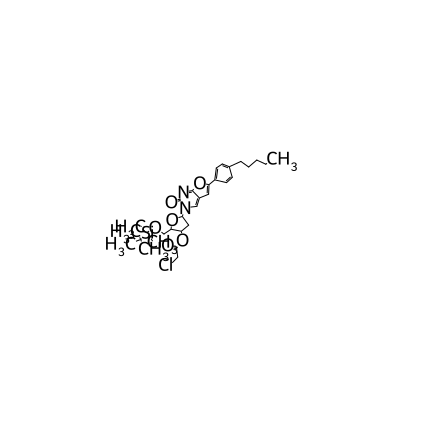 CCCCCc1ccc(-c2cc3cn(C4CC(OC(=O)CCl)C(CO[Si](C)(C)C(C)(C)C)O4)c(=O)nc3o2)cc1